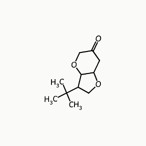 CC(C)(C)C1COC2CC(=O)COC21